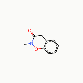 CN1Oc2ccccc2CC1=O